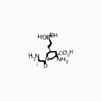 C[C@H](N)C(=O)N1C[C@@H](CCB(O)O)C[C@@](N)(C(=O)O)C1